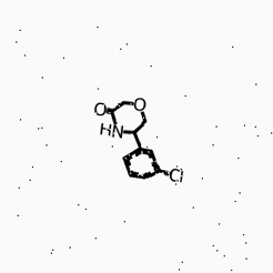 O=C1COCC(c2cccc(Cl)c2)N1